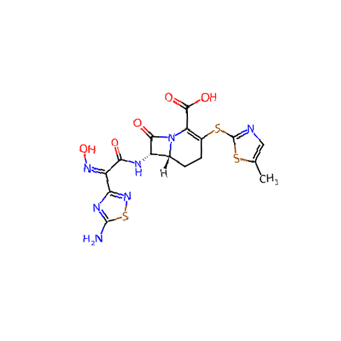 Cc1cnc(SC2=C(C(=O)O)N3C(=O)[C@@H](NC(=O)/C(=N\O)c4nsc(N)n4)[C@H]3CC2)s1